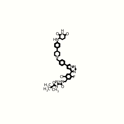 CC(C)(C)c1nc(C(=O)NCc2cc(F)c(-c3ncnn4cc(-c5ccc(CN6CCC(c7ccc(NC8CCC(=O)NC8=O)cc7)CC6)cc5)cc34)cc2Cl)no1